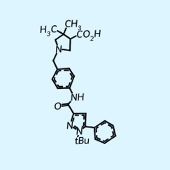 CC1(C)CN(Cc2ccc(NC(=O)c3cc(-c4ccccc4)n(C(C)(C)C)n3)cc2)CC1C(=O)O